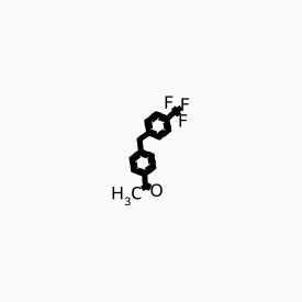 CC(=O)c1ccc(Cc2ccc(C(F)(F)F)cc2)cc1